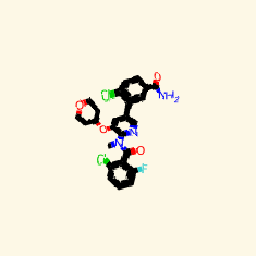 CN(C(=O)c1c(F)cccc1Cl)c1ncc(-c2cc(C(N)=O)ccc2Cl)cc1OC1CCOCC1